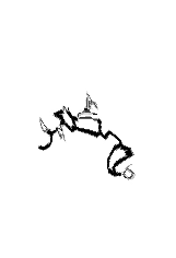 C=CC(=O)Nc1cnc2c(c1)c(C=Cc1ccc(Cl)cc1)cn2C(C)C